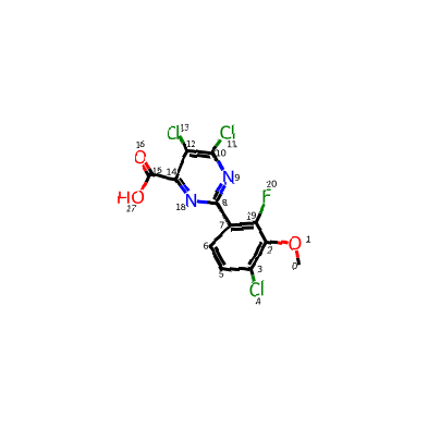 COc1c(Cl)ccc(-c2nc(Cl)c(Cl)c(C(=O)O)n2)c1F